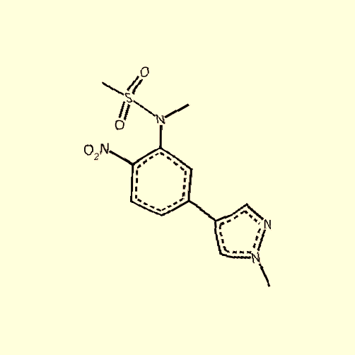 CN(c1cc(-c2cnn(C)c2)ccc1[N+](=O)[O-])S(C)(=O)=O